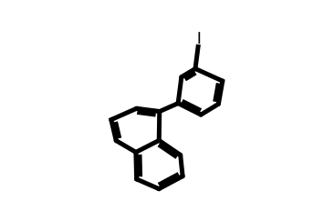 Ic1cccc(-c2cccc3ccccc23)c1